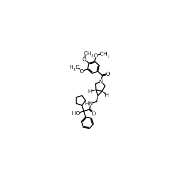 COc1cc(C(=O)N2C[C@@H]3[C@@H](CNC(=O)C(O)(c4ccccc4)C4CCCC4)[C@@H]3C2)cc(OC)c1OC